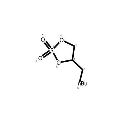 CCCCCC1COS(=O)(=O)O1